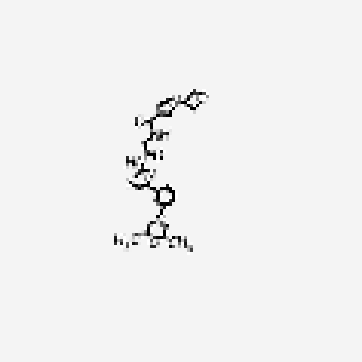 C[C@@H]1CN(c2cccc(-c3csc(NC(=O)CNC(=O)c4ccn(C5COC5)c4)n3)c2)C[C@H](C)O1